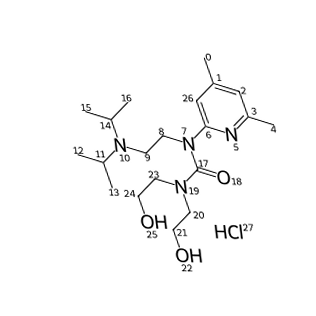 Cc1cc(C)nc(N(CCN(C(C)C)C(C)C)C(=O)N(CCO)CCO)c1.Cl